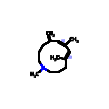 C=C1/C=C(C)\C=C(/C)CCCN(C)CCC1